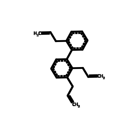 C=CCc1ccccc1-c1cccc(CC=C)c1CC=C